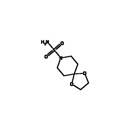 NS(=O)(=O)N1CCC2(CC1)OCCO2